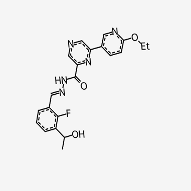 CCOc1ccc(-c2cncc(C(=O)N/N=C/c3cccc(C(C)O)c3F)n2)cn1